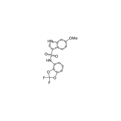 COc1ccc2c(S(=O)(=O)Nc3cccc4c3OC(F)(F)O4)c[nH]c2c1